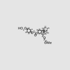 COCCOCOc1cc(C(=O)COc2ccc(C(=O)O)cc2)ccc1C12CC3CC(CC(C3)C1)C2